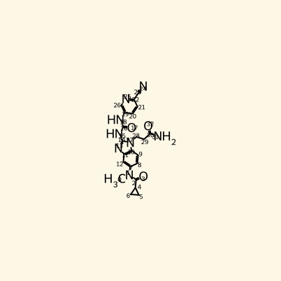 CN(C(=O)C1CC1)c1ccc2c(c1)nc(NC(=O)Nc1ccc(C#N)nc1)n2CCC(N)=O